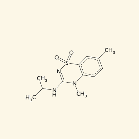 Cc1ccc2c(c1)S(=O)(=O)N=C(NC(C)C)N2C